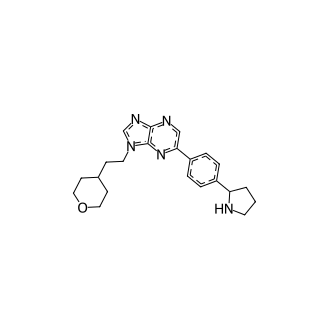 c1cc(C2CCCN2)ccc1-c1cnc2ncn(CCC3CCOCC3)c2n1